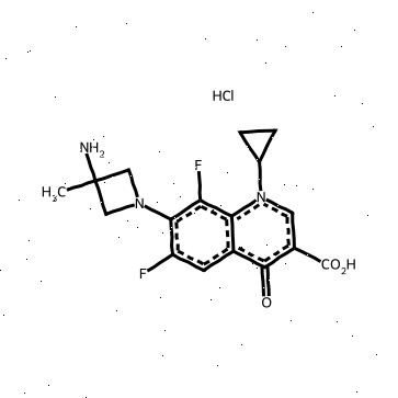 CC1(N)CN(c2c(F)cc3c(=O)c(C(=O)O)cn(C4CC4)c3c2F)C1.Cl